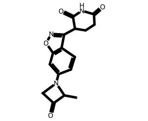 CC1C(=O)CN1c1ccc2c(C3CCC(=O)NC3=O)noc2c1